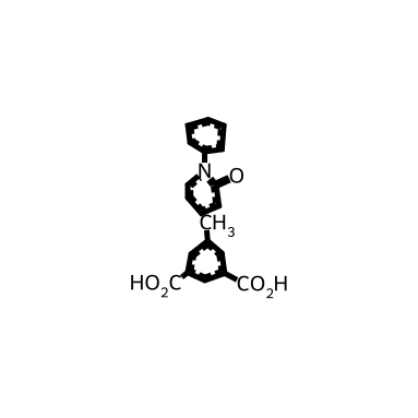 Cc1cc(C(=O)O)cc(C(=O)O)c1.O=c1ccccn1-c1ccccc1